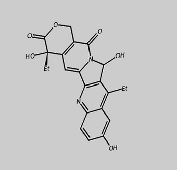 CCc1c2c(nc3ccc(O)cc13)-c1cc3c(c(=O)n1C2O)COC(=O)[C@]3(O)CC